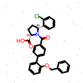 O=C(O)[C@@H]1CC[C@H](c2ccccc2Cl)N1C(=O)c1ccc(-c2ccccc2OCc2ccccc2)cc1